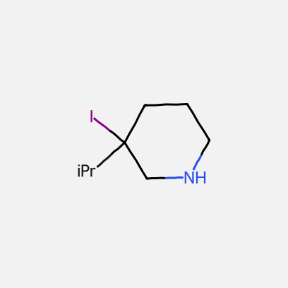 CC(C)C1(I)CCCNC1